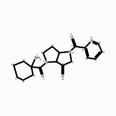 NC1(C(=O)N2CCC3C2C(=O)CN3C(=O)c2ccccn2)CCCCC1